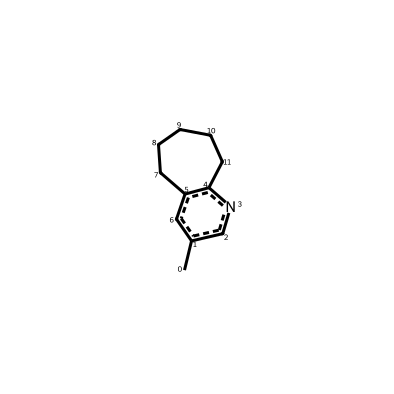 Cc1cnc2c(c1)CCCCC2